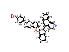 Brc1ccc(-c2ccc3c(ccc4c3oc3c5ccccc5cc(-c5cc6ccccc6c6cnccc56)c43)c2)cc1